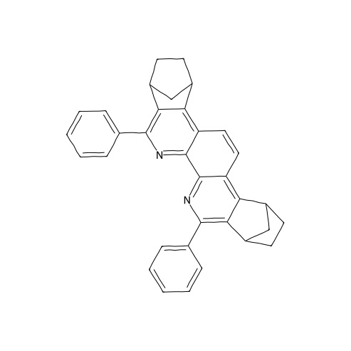 c1ccc(-c2nc3c(ccc4c5c(c(-c6ccccc6)nc43)C3CCC5C3)c3c2C2CCC3C2)cc1